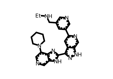 CCNCc1cncc(-c2cc3c(-c4nc5c(N6CCCCC6)cncc5[nH]4)n[nH]c3cn2)c1